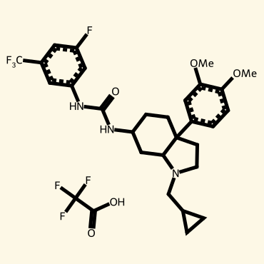 COc1ccc(C23CCC(NC(=O)Nc4cc(F)cc(C(F)(F)F)c4)CC2N(CC2CC2)CC3)cc1OC.O=C(O)C(F)(F)F